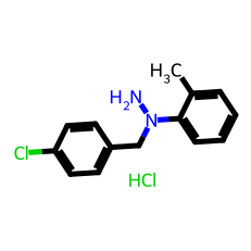 Cc1ccccc1N(N)Cc1ccc(Cl)cc1.Cl